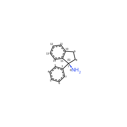 N[C@]1(c2ccccc2)CCc2ccccc21